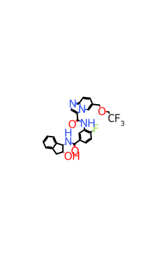 O=C(N[C@H]1c2ccccc2C[C@H]1O)c1ccc(F)c(NC(=O)c2cnc3ccc(COCC(F)(F)F)cn23)c1